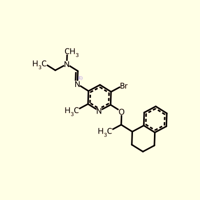 CCN(C)/C=N/c1cc(Br)c(OC(C)C2CCCc3ccccc32)nc1C